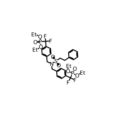 CCOP(=O)(OCC)C(F)(F)c1ccc(CN(Cc2ccc(C(F)(F)P(=O)(OCC)OCC)cc2)S(=O)(=O)CCc2ccccc2)cc1